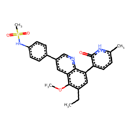 CCc1cc(-c2ccc(C)[nH]c2=O)c2ncc(-c3ccc(NS(C)(=O)=O)cc3)cc2c1OC